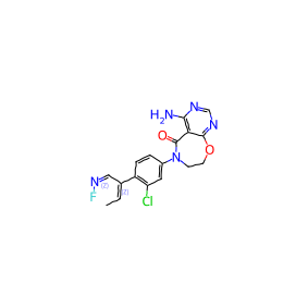 C/C=C(\C=N/F)c1ccc(N2CCOc3ncnc(N)c3C2=O)cc1Cl